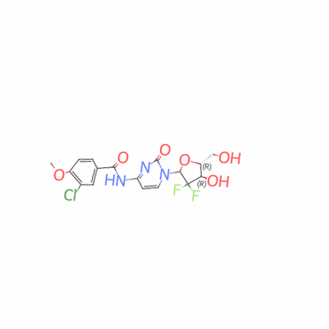 COc1ccc(C(=O)Nc2ccn(C3O[C@H](CO)[C@@H](O)C3(F)F)c(=O)n2)cc1Cl